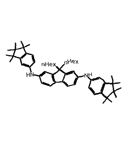 CCCCCCC1(CCCCCC)c2cc(Nc3ccc4c(c3)C(C)(C)C(C)(C)C4(C)C)ccc2-c2ccc(Nc3ccc4c(c3)C(C)(C)C(C)(C)C4(C)C)cc21